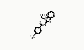 O=C(O)Cn1c(=NC(=O)c2ccc(C(F)(F)F)cc2)sc2ccccc21